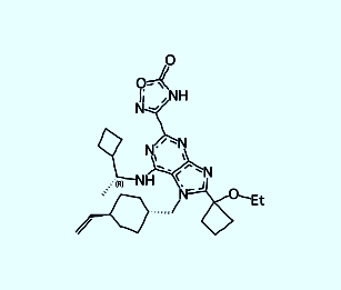 C=C[C@H]1CC[C@H](Cn2c(C3(OCC)CCC3)nc3nc(-c4noc(=O)[nH]4)nc(N[C@H](C)C4CCC4)c32)CC1